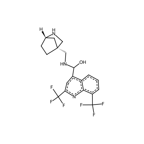 OC(NC[C@]12CC[C@@H](C1)NC2)c1cc(C(F)(F)F)nc2c(C(F)(F)F)cccc12